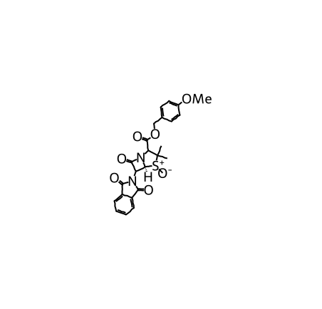 COc1ccc(COC(=O)C2N3C(=O)C(N4C(=O)c5ccccc5C4=O)[C@@H]3[S+]([O-])C2(C)C)cc1